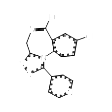 CCC1=NCc2nnc(-c3ccncc3)n2-c2ccc(Cl)cc21